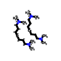 CN(C)CC[CH2][Ca][CH2]CCN(C)C.CN(C)CC[CH2][Sr][CH2]CCN(C)C